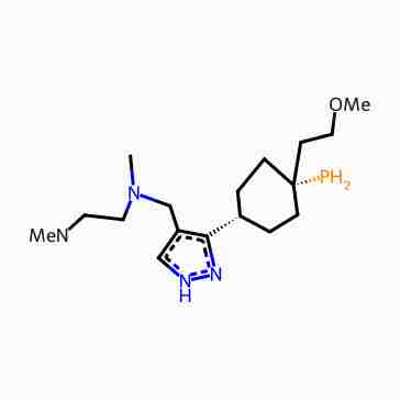 CNCCN(C)Cc1c[nH]nc1[C@H]1CC[C@](P)(CCOC)CC1